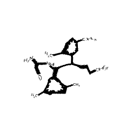 CCCCC(c1cc(C)ccc1C)C(NC(N)=O)c1cc(C)ccc1C